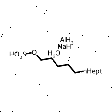 CCCCCCCCCCCCOS(=O)(=O)O.O.[AlH3].[NaH]